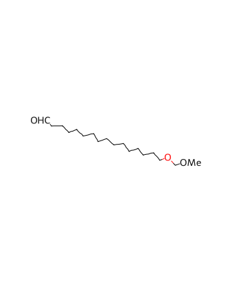 COCOCCCCCCCCCCCCCCCC=O